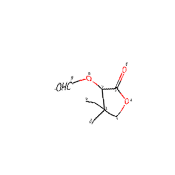 CC1(C)COC(=O)C1O[C]=O